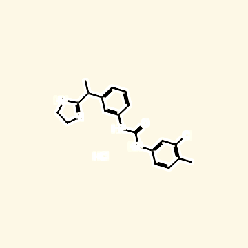 Cc1ccc(NC(=O)Nc2cccc(C(C)C3=NCCN3)c2)cc1Cl.Cl